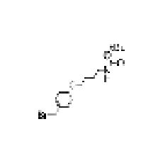 CC(C)(C)OC(=O)NCCCCOc1ccc(CBr)cc1